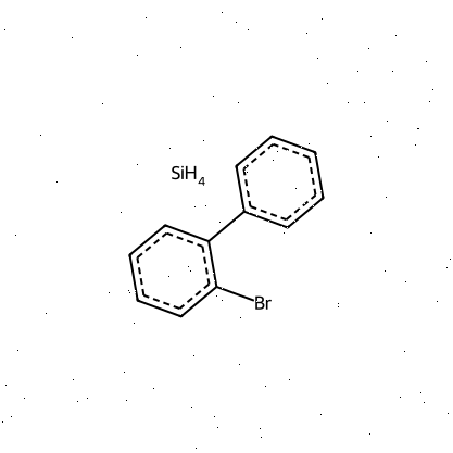 Brc1ccccc1-c1ccccc1.[SiH4]